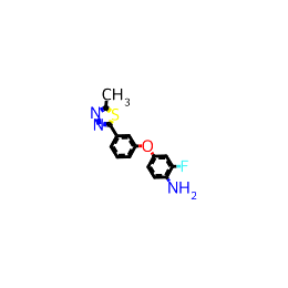 Cc1nnc(-c2cccc(Oc3ccc(N)c(F)c3)c2)s1